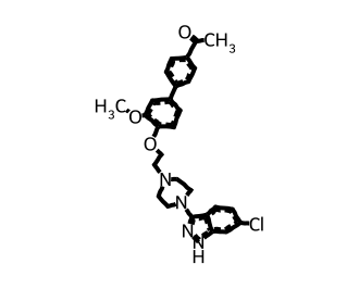 COc1cc(-c2ccc(C(C)=O)cc2)ccc1OCCN1CCN(c2n[nH]c3cc(Cl)ccc23)CC1